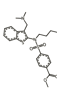 CCCCN(c1sc2ccccc2c1CN(C)C)S(=O)(=O)c1ccc(C(=O)OC)cc1